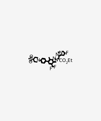 CCOC(=O)C(c1ncn2c1C[C@@H](F)C2)n1cc2c(C(F)F)cc(-c3ccc(N4CCC(S(C)(=O)=O)CC4)cc3)c(C)c2n1